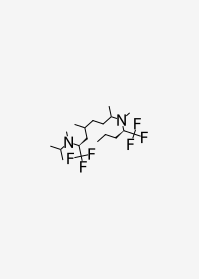 CCC[C@@H](N(C)C(C)CCC(C)C[C@H](N(C)C(C)C)C(F)(F)F)C(F)(F)F